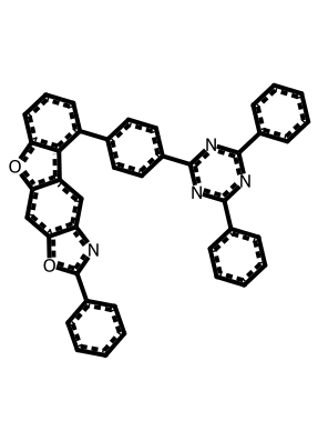 c1ccc(-c2nc(-c3ccccc3)nc(-c3ccc(-c4cccc5oc6cc7oc(-c8ccccc8)nc7cc6c45)cc3)n2)cc1